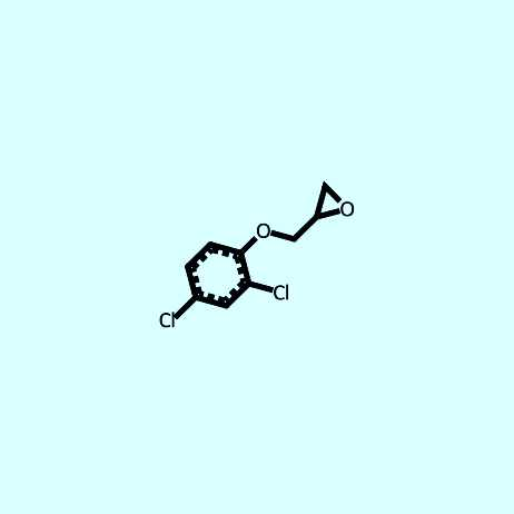 Clc1ccc(OCC2CO2)c(Cl)c1